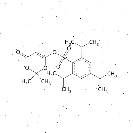 CC(C)c1cc(C(C)C)c(S(=O)(=O)OC2=CC(=O)OC(C)(C)O2)c(C(C)C)c1